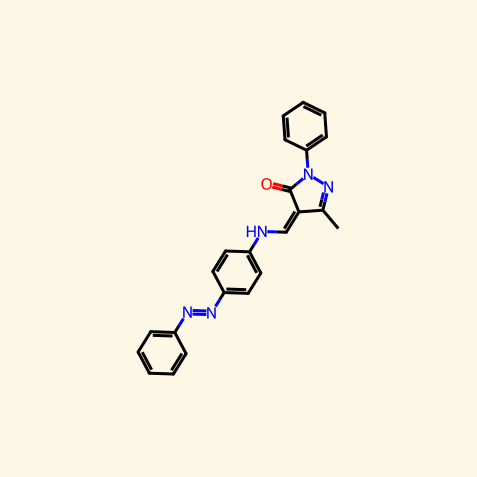 CC1=NN(c2ccccc2)C(=O)C1=CNc1ccc(N=Nc2ccccc2)cc1